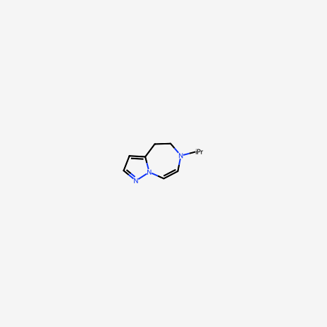 CC(C)N1C=Cn2nccc2CC1